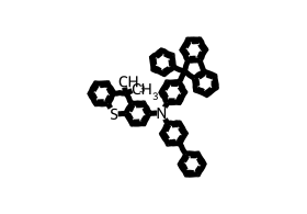 CC1(C)c2ccccc2Sc2ccc(N(c3ccc(-c4ccccc4)cc3)c3ccc(C4(c5ccccc5)c5ccccc5-c5ccccc54)cc3)cc21